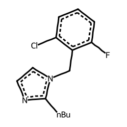 CCCCc1nccn1Cc1c(F)cccc1Cl